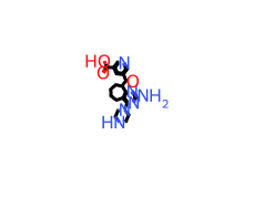 Nc1nc2c(c(N3CCNCC3)n1)CCCCC2C(=O)c1cncc(C(=O)O)c1